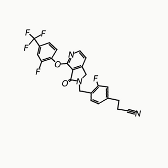 N#CCCc1ccc(CN2Cc3ccnc(Oc4ccc(C(F)(F)F)cc4F)c3C2=O)c(F)c1